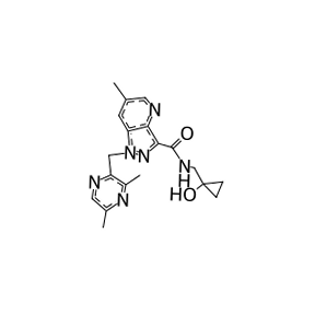 Cc1cnc2c(C(=O)NCC3(O)CC3)nn(Cc3ncc(C)nc3C)c2c1